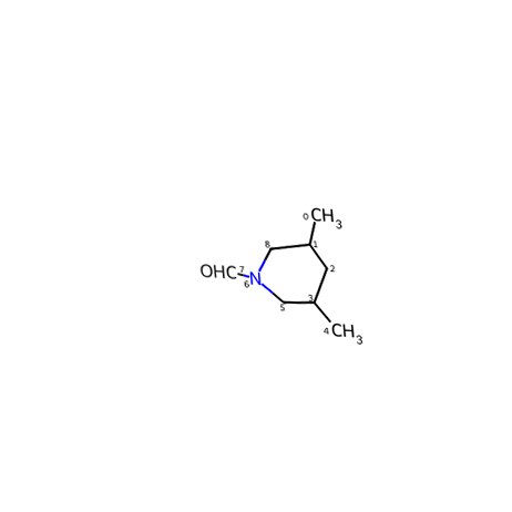 CC1CC(C)CN(C=O)C1